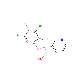 C[C@H]1c2c(cc(F)c(Cl)c2Br)O[C@]1(CO)c1cccnc1